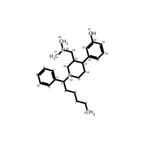 CCCCCC(c1ccccc1)N1CCC(c2cccc(O)c2)C(CN(C)C)C1